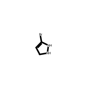 BrC1=C[CH]NN1